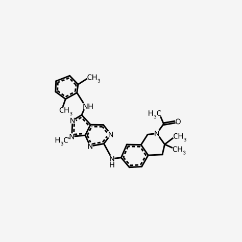 CC(=O)N1Cc2cc(Nc3ncc4c(Nc5c(C)cccc5C)nn(C)c4n3)ccc2CC1(C)C